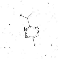 Cc1cnc(C(C)F)nc1